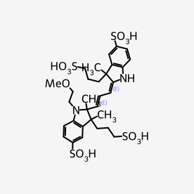 COCCN1c2ccc(S(=O)(=O)O)cc2C(C)(CCCS(=O)(=O)O)C1(C)/C=C/C=C1/Nc2ccc(S(=O)(=O)O)cc2C1(C)CCCS(=O)(=O)O